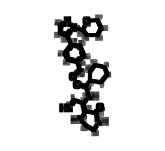 N=C/C(NC(=O)[C@@H]1CCCC[C@H]1C(=O)c1ccc(-c2ccnn2C2CCCCO2)cc1)=C1\NCCNC1=O